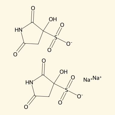 O=C1CC(O)(S(=O)(=O)[O-])C(=O)N1.O=C1CC(O)(S(=O)(=O)[O-])C(=O)N1.[Na+].[Na+]